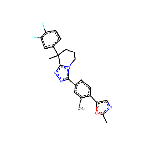 COc1cc(-c2nnc3n2CCCC3(C)c2ccc(F)c(F)c2)ccc1-c1cnc(C)o1